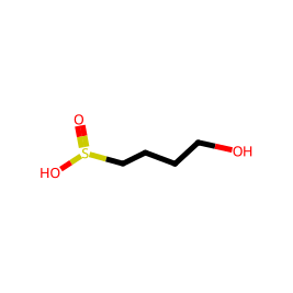 O=S(O)CCCCO